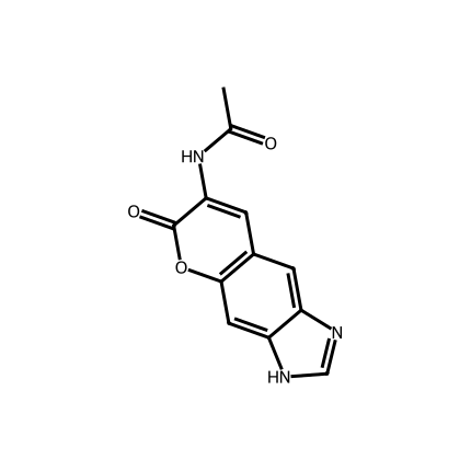 CC(=O)Nc1cc2cc3nc[nH]c3cc2oc1=O